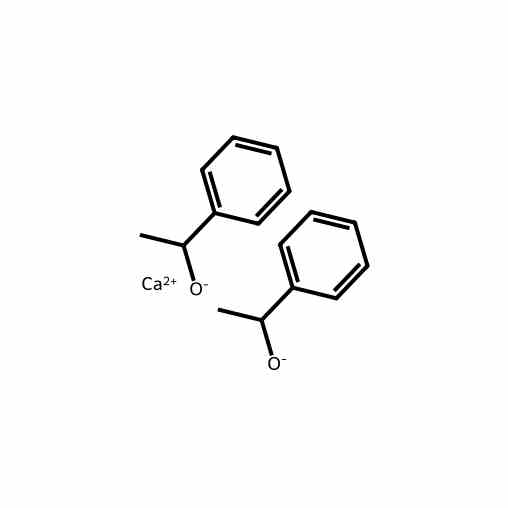 CC([O-])c1ccccc1.CC([O-])c1ccccc1.[Ca+2]